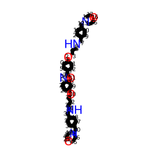 C1=C(OCCCNCc2ccc(CN3CCOCC3)cc2)CCC(c2nc3ccc(OCCCNCc4ccc(CN5CCOCC5)cc4)cc3o2)=C1